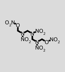 O=[N+]([O-])OCN(CN(CN(CO[N+](=O)[O-])[N+](=O)[O-])[N+](=O)[O-])[N+](=O)[O-]